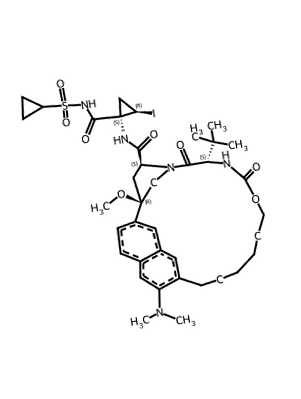 CO[C@@]12C[C@@H](C(=O)N[C@]3(C(=O)NS(=O)(=O)C4CC4)C[C@H]3I)N(C1)C(=O)[C@H](C(C)(C)C)NC(=O)OCCCCCCc1cc3cc2ccc3cc1N(C)C